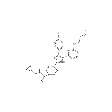 COCCOc1nccc(-c2[nH]c(C3OCC(C)(C(=O)NCC4CC4)CO3)nc2-c2ccc(F)cc2)n1